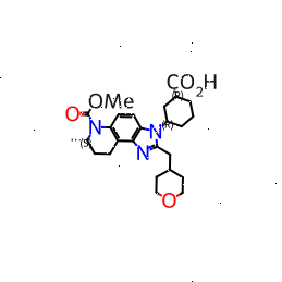 COC(=O)N1c2ccc3c(nc(CC4CCOCC4)n3[C@@H]3CCC[C@@H](C(=O)O)C3)c2CC[C@@H]1C